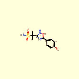 CC(C)(C1N=C(c2ccc(Br)cc2)ON1)S(N)(=O)=O